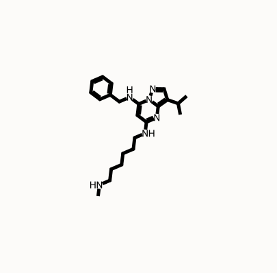 CNCCCCCCNc1cc(NCc2ccccc2)n2ncc(C(C)C)c2n1